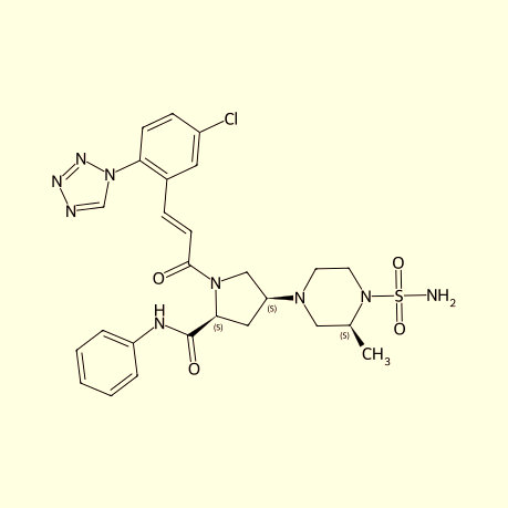 C[C@H]1CN([C@H]2C[C@@H](C(=O)Nc3ccccc3)N(C(=O)C=Cc3cc(Cl)ccc3-n3cnnn3)C2)CCN1S(N)(=O)=O